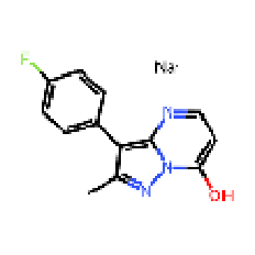 Cc1nn2c(O)ccnc2c1-c1ccc(F)cc1.[Na]